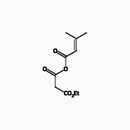 CCOC(=O)CC(=O)OC(=O)C=C(C)C